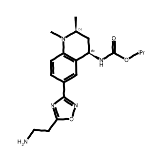 CC(C)OC(=O)N[C@@H]1C[C@H](C)N(C)c2ccc(-c3noc(CCN)n3)cc21